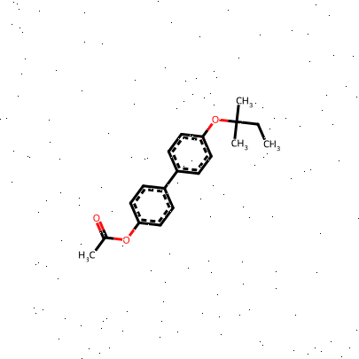 CCC(C)(C)Oc1ccc(-c2ccc(OC(C)=O)cc2)cc1